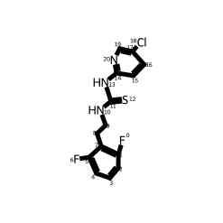 Fc1cccc(F)c1CCNC(=S)Nc1ccc(Cl)cn1